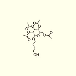 CC(=O)OCC1O[C@@H](OCCCCO)C(OC(C)=O)[C@@H](OC(C)=O)[C@@H]1OC(C)=O